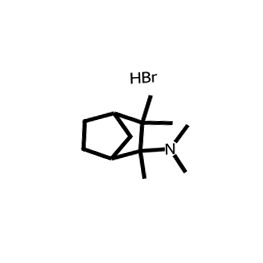 Br.CN(C)C1(C)C2CCC(C2)C1(C)C